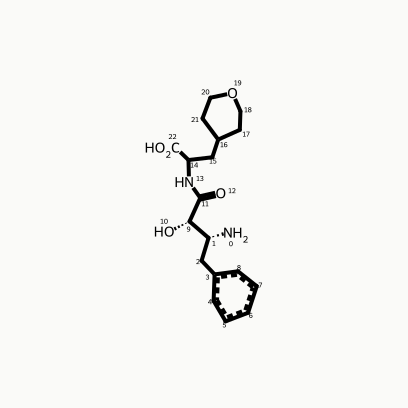 N[C@H](Cc1ccccc1)[C@H](O)C(=O)NC(CC1CCOCC1)C(=O)O